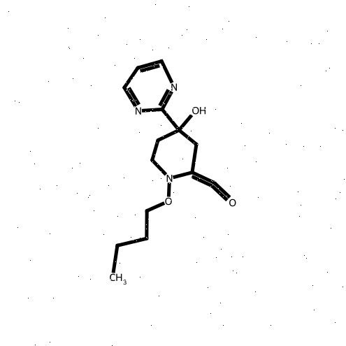 CCCCON1CCC(O)(c2ncccn2)CC1=C=O